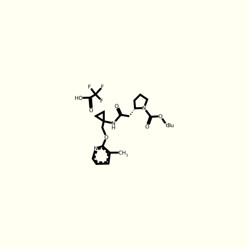 Cc1cccnc1OCC1(NC(=O)C[C@@H]2CCCN2C(=O)OC(C)(C)C)CC1.O=C(O)C(F)(F)F